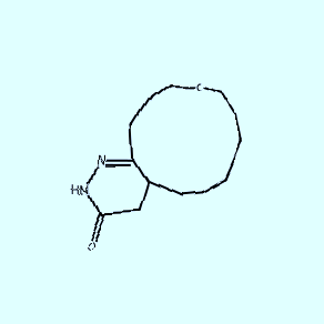 O=C1CC2CCCCCCCCCCC2=NN1